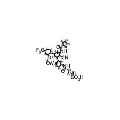 COCOc1cc(C(F)(F)F)ccc1-c1cc(-c2cccc(NC(=O)CCNC(=O)O)c2)c(C#N)c(NC(=O)c2cccs2)n1